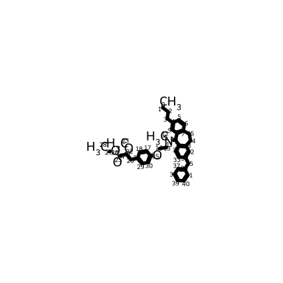 CCCCc1ccc2c(c1)C(N(C)CCOc1ccc(CC(OC)C(=O)OCC)cc1)c1ccc(Cc3ccccc3)cc1CC2